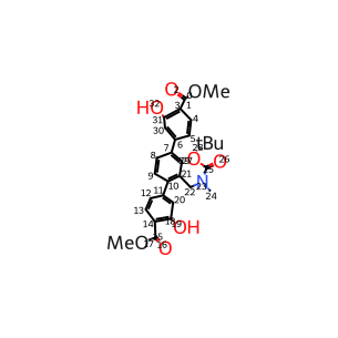 COC(=O)c1ccc(-c2ccc(-c3ccc(C(=O)OC)c(O)c3)c(CN(C)C(=O)OC(C)(C)C)c2)cc1O